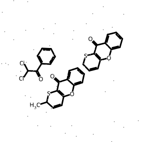 CC1C=Cc2oc3ccccc3c(=O)c2S1.O=C(c1ccccc1)C(Cl)Cl.O=c1c2c(oc3ccccc13)C=CCS2